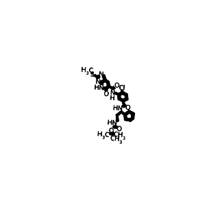 CSc1ncc2cc(C(=O)Nc3cc(C(=O)NC(CCNC(=O)OC(C)(C)C)c4ccccc4)ccc3Cl)c(=O)[nH]c2n1